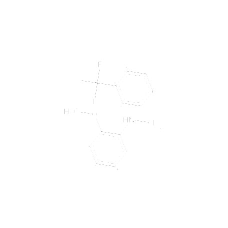 FC(F)(F)c1cc[c]cc1.[CH2]Nc1ccccc1OC